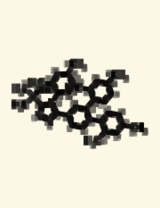 CCCCC(C)(C)c1nnc(-c2ccc(-c3ccc(C)cc3C)c(-c3ccc(C)cc3C)c2)n1-c1ccc(C)cc1C